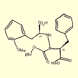 COC(=O)[C@H](Cc1ccccc1)N(N[C@@H](Cc1ccccc1OC)C(=O)O)C(=O)OC(C)(C)C